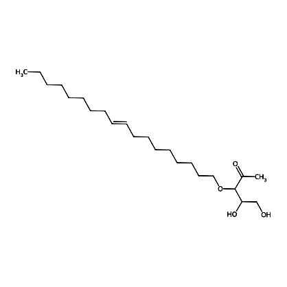 CCCCCCCCC=CCCCCCCCCOC(C(C)=O)C(O)CO